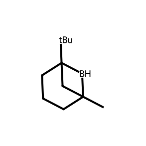 CC12BC(C(C)(C)C)(CCC1)C2